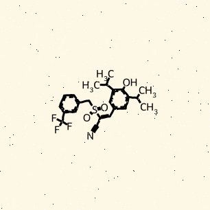 CC(C)c1cc(C=C(C#N)S(=O)(=O)Cc2cccc(C(F)(F)F)c2)cc(C(C)C)c1O